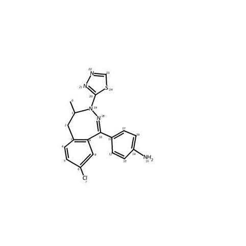 CC1Cc2ccc(Cl)cc2C(c2ccc(N)cc2)=NN1c1nncs1